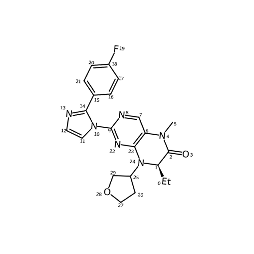 CC[C@@H]1C(=O)N(C)c2cnc(-n3ccnc3-c3ccc(F)cc3)nc2N1C1CCOC1